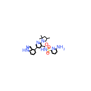 CC1CN(c2ncc(-c3cccc4[nH]ncc34)cc2C(=O)NS(=O)(=O)c2cccc(N)n2)C(C)(C)C1